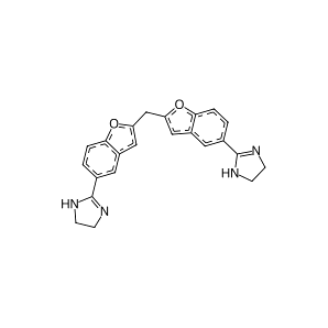 c1cc2oc(Cc3cc4cc(C5=NCCN5)ccc4o3)cc2cc1C1=NCCN1